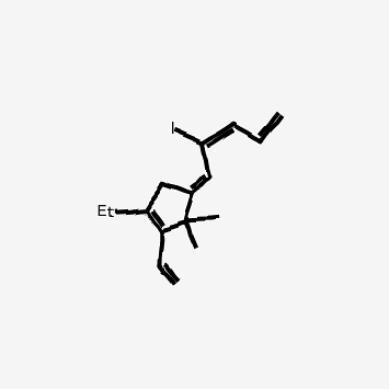 C=C/C=C(I)\C=C1/CC(CC)=C(C=C)C1(C)C